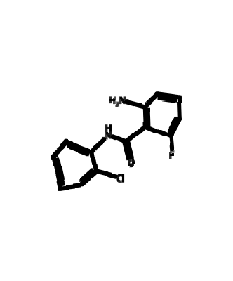 Nc1cccc(F)c1C(=O)Nc1ccccc1Cl